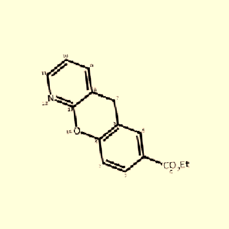 CCOC(=O)c1ccc2c(c1)Cc1cccnc1O2